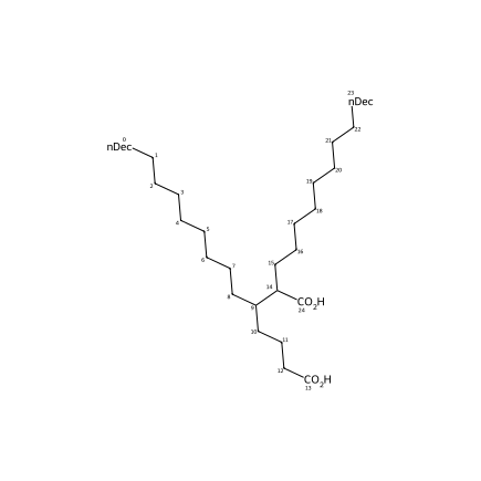 CCCCCCCCCCCCCCCCCCC(CCCC(=O)O)C(CCCCCCCCCCCCCCCCCC)C(=O)O